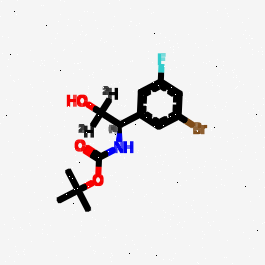 [2H]C([2H])(O)[C@H](NC(=O)OC(C)(C)C)c1cc(F)cc(Br)c1